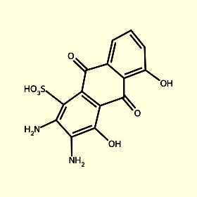 Nc1c(N)c(S(=O)(=O)O)c2c(c1O)C(=O)c1c(O)cccc1C2=O